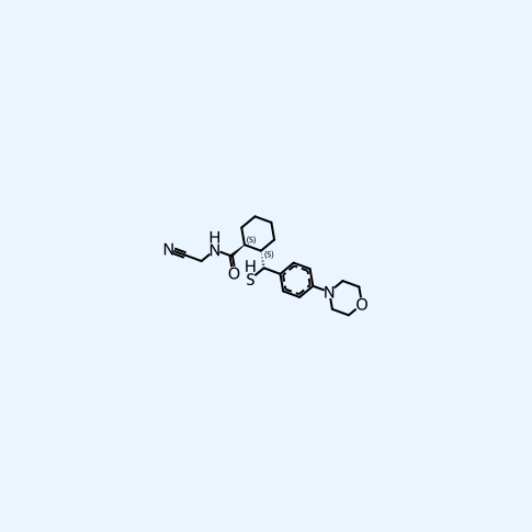 N#CCNC(=O)[C@H]1CCCC[C@@H]1C(S)c1ccc(N2CCOCC2)cc1